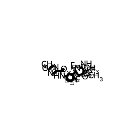 COc1cnc(C(=O)Nc2ccc(F)c([C@]3(CF)CC[C@](C)(S(C)(=O)=O)C(N)=N3)c2)cn1